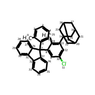 Cc1ccccc1C1(c2cc(Cl)cc(C34CC5CC(CC(C5)C3)C4)c2C)c2ccccc2-c2ccccc21